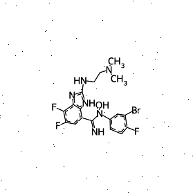 CN(C)CCNc1nc2c(F)c(F)cc(C(=N)N(O)c3ccc(F)c(Br)c3)c2[nH]1